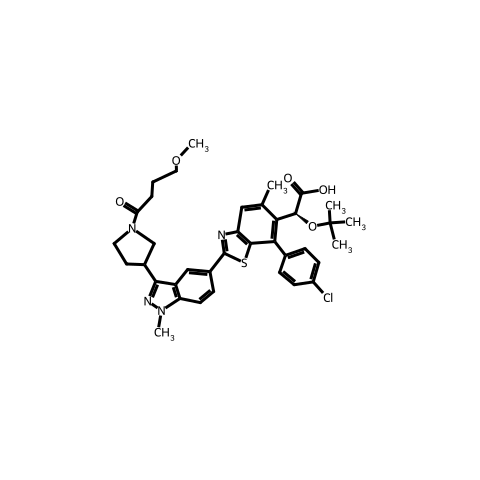 COCCCC(=O)N1CCC(c2nn(C)c3ccc(-c4nc5cc(C)c([C@H](OC(C)(C)C)C(=O)O)c(-c6ccc(Cl)cc6)c5s4)cc23)C1